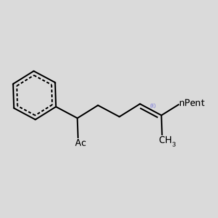 CCCCC/C(C)=C/CCC(C(C)=O)c1ccccc1